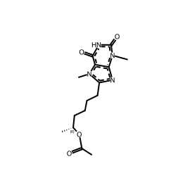 CC(=O)O[C@H](C)CCCCc1nc2c(c(=O)[nH]c(=O)n2C)n1C